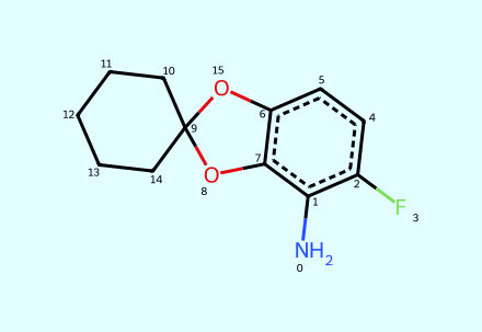 Nc1c(F)ccc2c1OC1(CCCCC1)O2